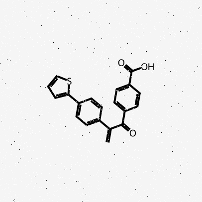 C=C(C(=O)c1ccc(C(=O)O)cc1)c1ccc(-c2cccs2)cc1